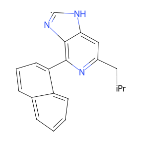 CC(C)Cc1cc2[nH][c]nc2c(-c2cccc3ccccc23)n1